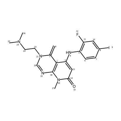 C=C1c2c(Nc3ccc(I)cc3F)cc(=O)n(C)c2N=CN1CCN(C)C